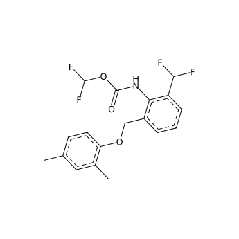 Cc1ccc(OCc2cccc(C(F)F)c2NC(=O)OC(F)F)c(C)c1